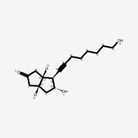 O=C1C[C@H]2C[C@@H](O)[C@H](C#CCCCCCCO)[C@H]2C1